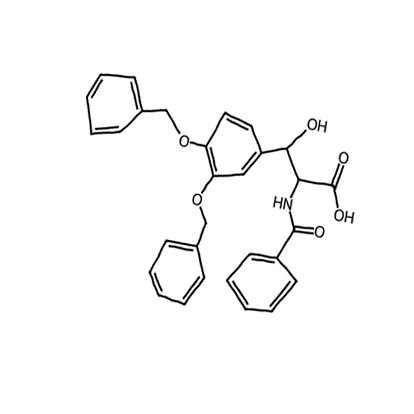 O=C(NC(C(=O)O)C(O)c1ccc(OCc2ccccc2)c(OCc2ccccc2)c1)c1ccccc1